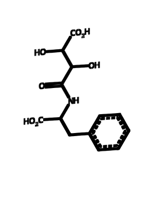 O=C(O)C(Cc1ccccc1)NC(=O)C(O)C(O)C(=O)O